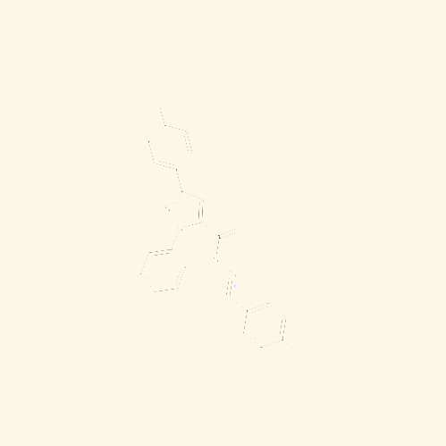 COc1ccc(-c2cc(C(=O)N/N=C/c3ccc(Cl)cc3)n(-c3ccccc3)n2)cc1